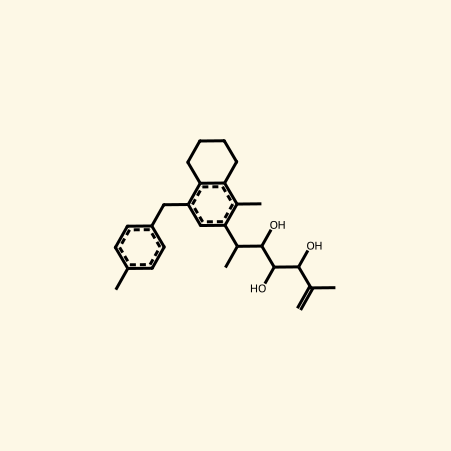 C=C(C)C(O)C(O)C(O)C(C)c1cc(Cc2ccc(C)cc2)c2c(c1C)CCCC2